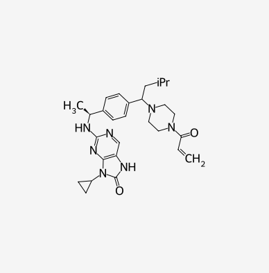 C=CC(=O)N1CCN(C(CC(C)C)c2ccc([C@H](C)Nc3ncc4[nH]c(=O)n(C5CC5)c4n3)cc2)CC1